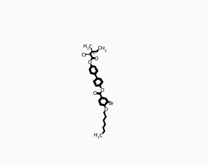 CCCCCCCOc1ccc(C(=O)Oc2ccc(-c3ccc(OC(=O)[C@@H](Cl)[C@@H](C)CC)cc3)cc2)cc1Br